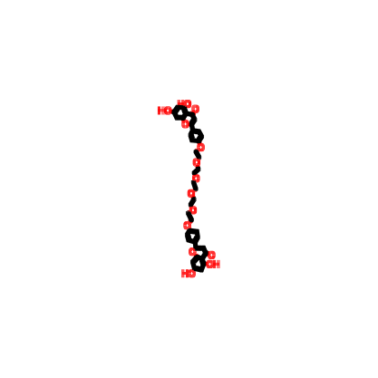 O=c1cc(-c2ccc(OCCOCCOCCOCCOCCOc3ccc(-c4cc(=O)c5c(O)cc(O)cc5o4)cc3)cc2)oc2cc(O)cc(O)c12